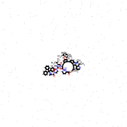 CCn1c(-c2cccnc2C(C)C)c2c3cc(ccc31)-c1cc(cc(O[Si](C(C)C)(C(C)C)C(C)C)c1)C[C@H](NC(=O)[C@H](C(C)C)N(C)C(=O)N1CCN(C(=O)[C@H]3CN3C(c3ccccc3)(c3ccccc3)c3ccccc3)CC1)C(=O)N1CCC[C@H](N1)C(=O)OCC(C)(C)C2